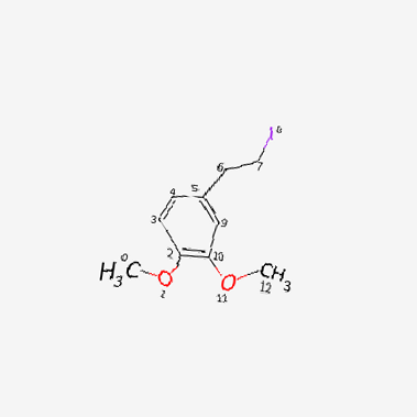 COc1ccc(CCI)cc1OC